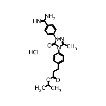 Cc1nn(-c2ccc(C(=N)N)cc2)c(=O)n1-c1ccc(CCC(=O)OC(C)C)cc1.Cl